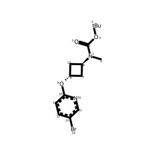 CN(C(=O)OC(C)(C)C)[C@H]1C[C@H](Oc2ccc(Br)cn2)C1